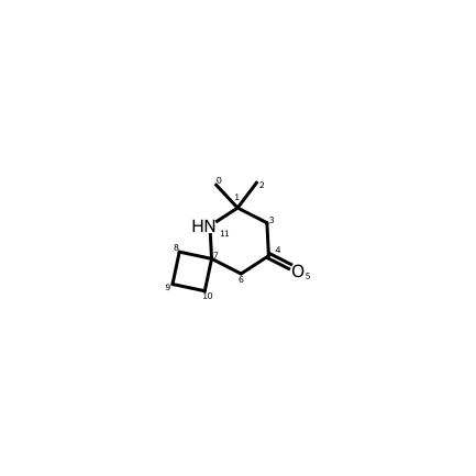 CC1(C)CC(=O)CC2(CCC2)N1